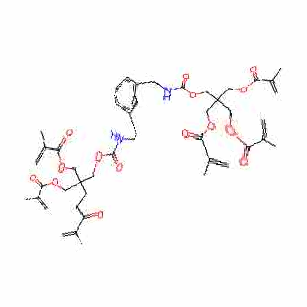 C=C(C)C(=O)CCC(COC(=O)NCc1cccc(CNC(=O)OCC(COC(=O)C(=C)C)(COC(=O)C(=C)C)COC(=O)C(=C)C)c1)(COC(=O)C(=C)C)COC(=O)C(=C)C